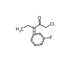 CCNC(=O)CCl.Fc1ccccc1